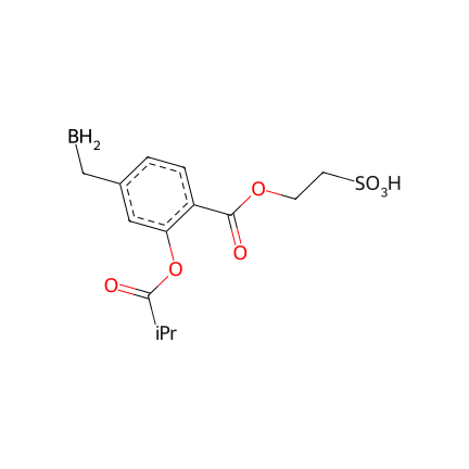 BCc1ccc(C(=O)OCCS(=O)(=O)O)c(OC(=O)C(C)C)c1